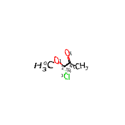 CO[C@@H](Cl)C(C)=O